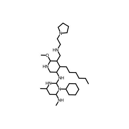 CCCCCCC1C(NC2NC(C)CC(NC)N2C2CCCCC2)CNC(OC)C1CNCCN1CCCC1